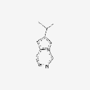 CC(C)c1cc2ccncn2c1